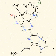 CCCCc1nc(-c2nc(N)c3c(n2)NC(=O)C3(c2ccc(Cl)cc2)C2CC2)cn2ccnc12